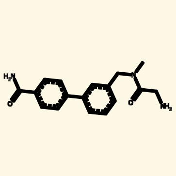 CN(Cc1cccc(-c2ccc(C(N)=O)cc2)c1)C(=O)CN